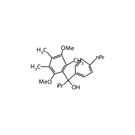 CCCc1ccc(C(O)(c2c(C)c(OC)c(C)c(C)c2OC)C(C)C)cc1